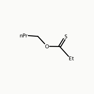 CCCCOC(=S)CC